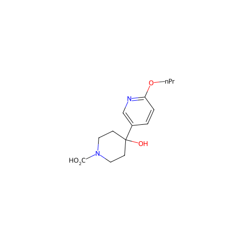 CCCOc1ccc(C2(O)CCN(C(=O)O)CC2)cn1